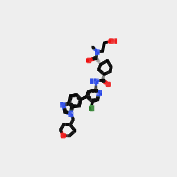 CN(CCO)C(=O)[C@@H]1CCC[C@H](C(=O)Nc2cc(-c3ccc4ncn(CC5CCOCC5)c4c3)c(Cl)cn2)C1